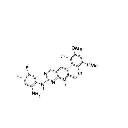 COc1cc(OC)c(Cl)c(-c2cc3cnc(Nc4cc(F)c(F)cc4N)nc3n(C)c2=O)c1Cl